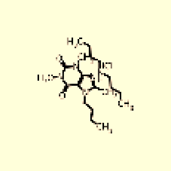 CCCCNCCCC.CCCCn1c(C)nc2c1c(=O)n(C)c(=O)n2C.Cl